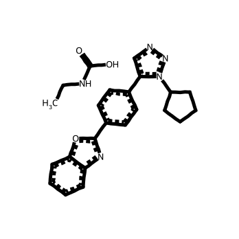 CCNC(=O)O.c1ccc2oc(-c3ccc(-c4cnnn4C4CCCC4)cc3)nc2c1